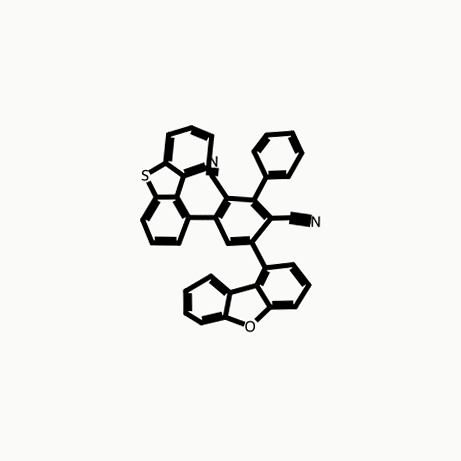 N#Cc1c(-c2cccc3oc4ccccc4c23)cc(-c2cccc3sc4ccccc4c23)c(C#N)c1-c1ccccc1